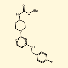 CC(C)(C)OC(=O)NC1CCN(c2nccc(NCc3ccc(F)cc3)n2)CC1